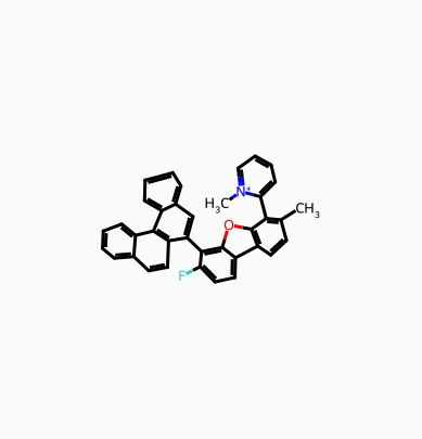 Cc1ccc2c(oc3c(-c4cc5ccccc5c5c4ccc4ccccc45)c(F)ccc32)c1-c1cccc[n+]1C